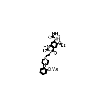 CCOc1cc2c(=O)n(CCN3CCN(c4ccccc4OC)CC3)c(=O)[nH]c2cc1NC(N)=O